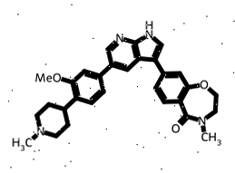 COc1cc(-c2cnc3[nH]cc(-c4ccc5c(c4)OCCN(C)C5=O)c3c2)ccc1C1CCN(C)CC1